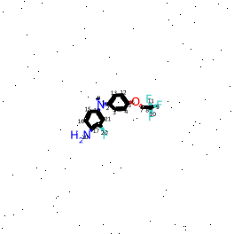 CN(c1ccc(OCC(F)(F)F)cc1)c1ccc(N)c(F)c1